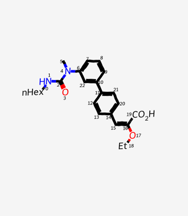 CCCCCCNC(=O)N(C)c1cccc(-c2ccc(/C=C(/OCC)C(=O)O)cc2)c1